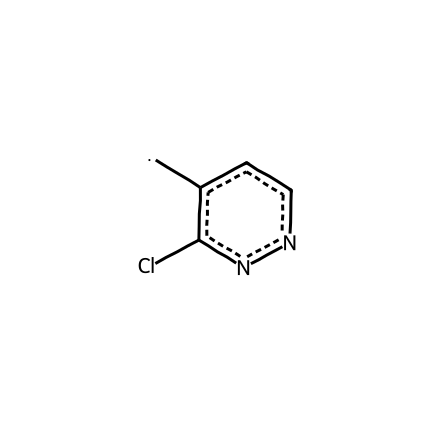 [CH2]c1ccnnc1Cl